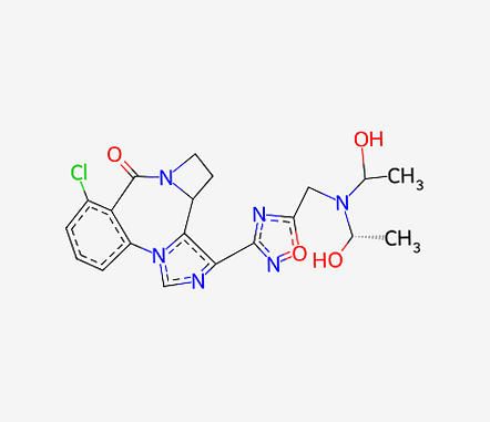 CC(O)N(Cc1nc(-c2ncn3c2C2CCN2C(=O)c2c(Cl)cccc2-3)no1)[C@H](C)O